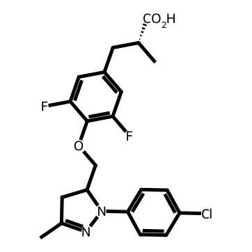 CC1=NN(c2ccc(Cl)cc2)C(COc2c(F)cc(C[C@@H](C)C(=O)O)cc2F)C1